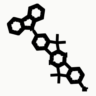 CC1(C)c2cc(Br)ccc2-c2nc3c(nc21)-c1ccc(-n2c4ccccc4c4ccccc42)cc1C3(C)C